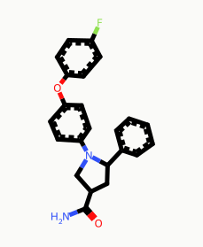 NC(=O)C1CC(c2ccccc2)N(c2ccc(Oc3ccc(F)cc3)cc2)C1